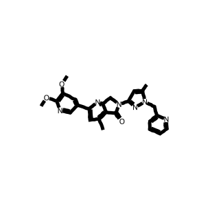 COc1cc(-c2cc(C)c3c(n2)CN(c2cc(C)n(Cc4ccccn4)n2)C3=O)cnc1OC